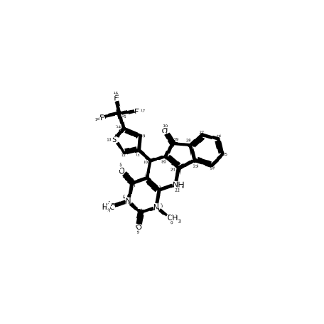 Cn1c2c(c(=O)n(C)c1=O)C(c1csc(C(F)(F)F)c1)C1=C(N2)c2ccccc2C1=O